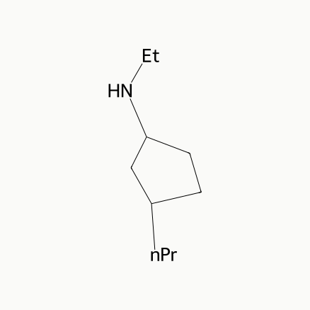 CCCC1CCC(NCC)C1